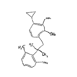 COc1c(CC(C)(C)c2c(C)cccc2SC)ccc(C2CC2)c1C(C)(C)C